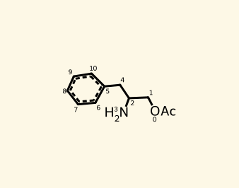 CC(=O)OCC(N)Cc1ccccc1